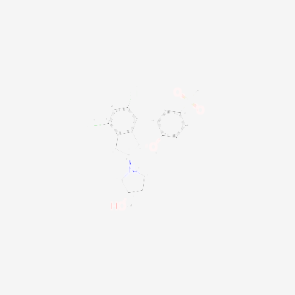 CS(=O)(=O)c1ccc(O[C@H]2c3cc(Cl)cc(Cl)c3C[C@@H]2N2CC[C@H](O)C2)cc1